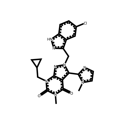 Cn1ccnc1-c1c2c(=O)n(C)c(=O)n(CC3CC3)c2nn1Cc1n[nH]c2ccc(Cl)cc12